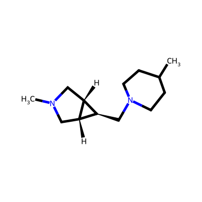 CC1CCN(C[C@H]2[C@@H]3CN(C)C[C@@H]32)CC1